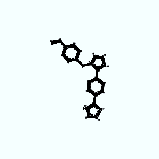 C=Cc1ccc(Cn2nnnc2-c2ccc(-c3nnn[nH]3)cc2)cc1